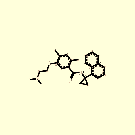 Cc1cc(C)c(C(=O)NC2(c3cccc4ccccc34)CC2)cc1OCCN(C)C